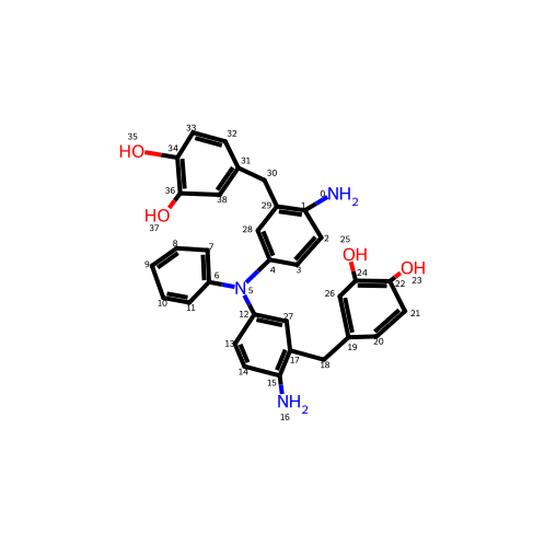 Nc1ccc(N(c2ccccc2)c2ccc(N)c(Cc3ccc(O)c(O)c3)c2)cc1Cc1ccc(O)c(O)c1